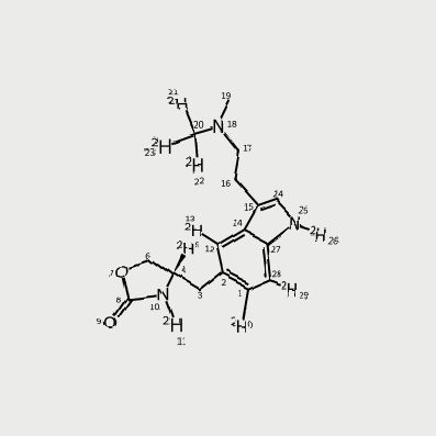 [2H]c1c(C[C@@]2([2H])COC(=O)N2[2H])c([2H])c2c(CCN(C)C([2H])([2H])[2H])cn([2H])c2c1[2H]